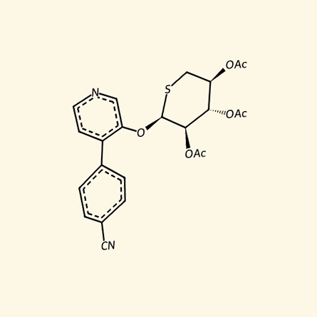 CC(=O)O[C@@H]1[C@@H](OC(C)=O)[C@@H](Oc2cnccc2-c2ccc(C#N)cc2)SC[C@H]1OC(C)=O